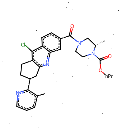 CCCOC(=O)N1CCN(C(=O)c2ccc3c(Cl)c4c(nc3c2)CC(c2ncccc2C)CC4)C[C@@H]1C